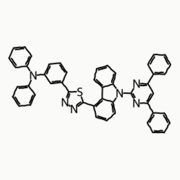 c1ccc(-c2cc(-c3ccccc3)nc(-n3c4ccccc4c4c(-c5nnc(-c6cccc(N(c7ccccc7)c7ccccc7)c6)s5)cccc43)n2)cc1